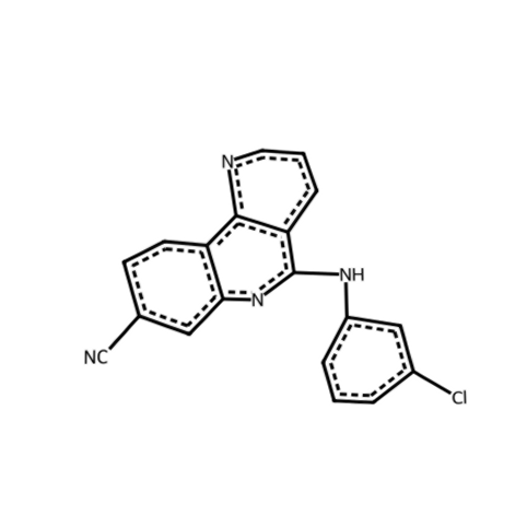 N#Cc1ccc2c(c1)nc(Nc1cccc(Cl)c1)c1cccnc12